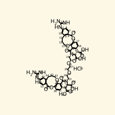 Cl.N=C(N)Nc1ccc2c(c1)CCCOc1c(cccc1C(=O)N(CCOCCOCCN(C(=O)c1cccc3c1OCCCc1cc(NC(=N)N)ccc1C(=O)O3)[C@H](CC(=O)O)C(=O)O)[C@H](CC(=O)O)C(=O)O)OC2=O